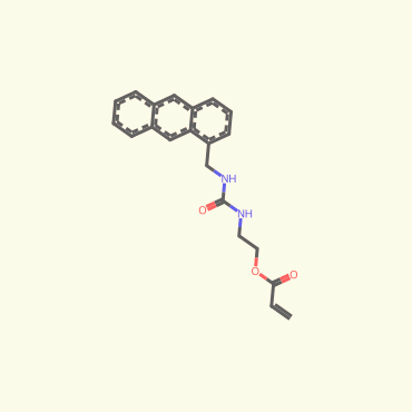 C=CC(=O)OCCNC(=O)NCc1cccc2cc3ccccc3cc12